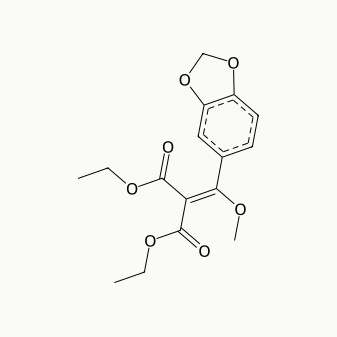 CCOC(=O)C(C(=O)OCC)=C(OC)c1ccc2c(c1)OCO2